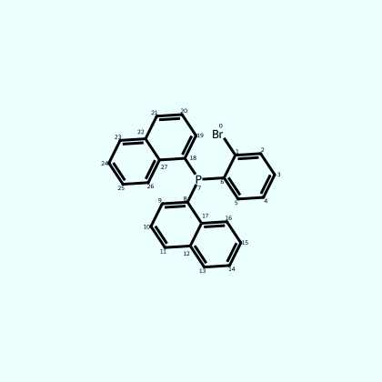 Brc1ccccc1P(c1cccc2ccccc12)c1cccc2ccccc12